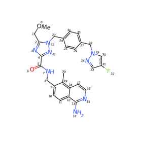 COCc1nc(C(=O)NCc2ccc3c(N)nccc3c2C)nn1Cc1ccc(Cn2cc(F)cn2)cc1